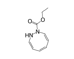 CCOC(=O)n1cccccc[nH]1